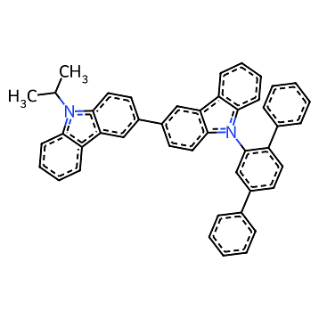 CC(C)n1c2ccccc2c2cc(-c3ccc4c(c3)c3ccccc3n4-c3cc(-c4ccccc4)ccc3-c3ccccc3)ccc21